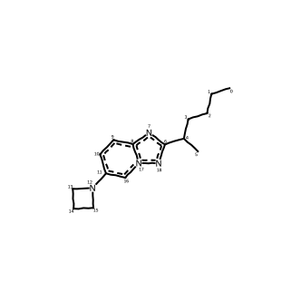 CCCCC(C)c1nc2ccc(N3CCC3)cn2n1